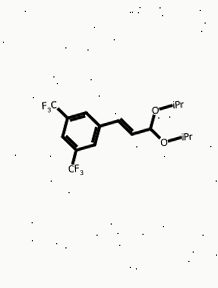 CC(C)OC(/C=C/c1cc(C(F)(F)F)cc(C(F)(F)F)c1)OC(C)C